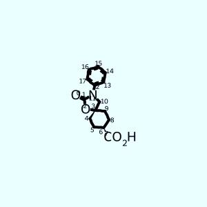 O=C1O[C@]2(CC[C@@H](C(=O)O)CC2)CN1c1ccccc1